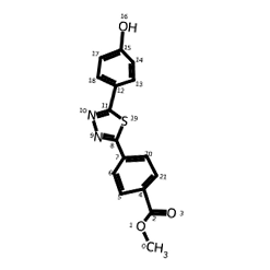 COC(=O)c1ccc(-c2nnc(-c3ccc(O)cc3)s2)cc1